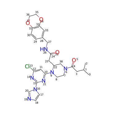 CC(C)CC(=O)N1CCN(c2cc(Cl)nc(-n3ccnc3)n2)C(CC(=O)NCc2ccc3c(c2)OCCO3)C1